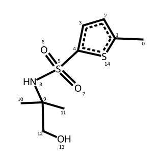 Cc1ccc(S(=O)(=O)NC(C)(C)CO)s1